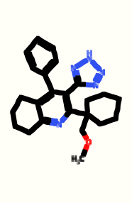 COCC1(c2nc3c(c(-c4ccccc4)c2-c2nn[nH]n2)CCCC3)CCCCC1